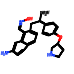 Nc1ccc2ccc(CC(C(=O)O)c3ccc(O[C@H]4CCNC4)cc3)c(/C=N\O)c2c1